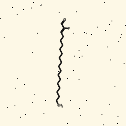 CCCCCCCCCCCCCCCCCC=C(F)[C]=O